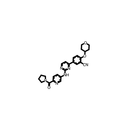 N#Cc1cc(-c2ccnc(Nc3ccc(C(=O)N4CCCC4)nc3)n2)ccc1OC1CCOCC1